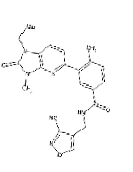 Cc1ccc(C(=O)NCc2conc2C#N)cc1-c1ccc2c(n1)n(C)c(=O)n2CC(C)(C)C